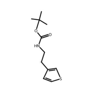 CC(C)(C)OC(=O)NC[CH]c1ccsc1